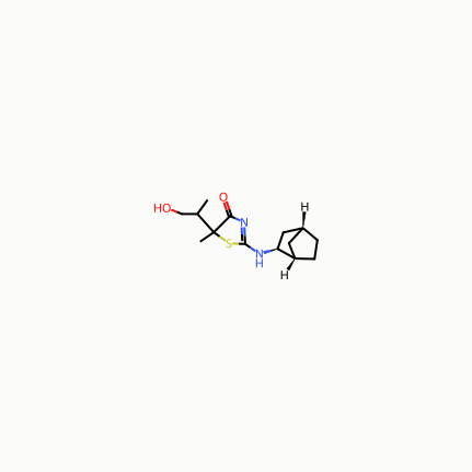 CC(CO)C1(C)SC(N[C@H]2C[C@@H]3CC[C@H]2C3)=NC1=O